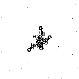 CC(C)(C)OC(=O)NC(CCC(=O)OCc1ccccc1)C(=O)NC(CCC(=O)OCc1ccccc1)C(=O)NC(CCC(=O)OCc1ccccc1)C(=O)O